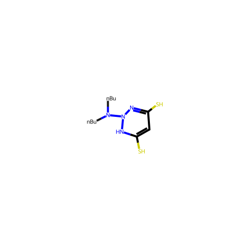 CCCCN(CCCC)N1N=C(S)C=C(S)N1